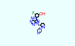 CN1CCN(c2ncccc2Cn2nc(-c3cc(O)cc(F)c3)c3c(N)ncnc32)CC1